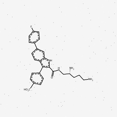 NCCC[C@@H](N)CNC(=O)c1[nH]c2cc(-c3ccc(F)cc3)ccc2c1-c1ccc(C(=O)O)cc1